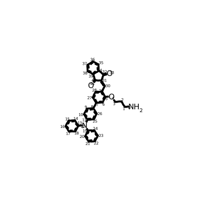 NCCCOc1cc(-c2ccc(N(c3ccccc3)c3ccccc3)cc2)ccc1C=C1C(=O)c2ccccc2C1=O